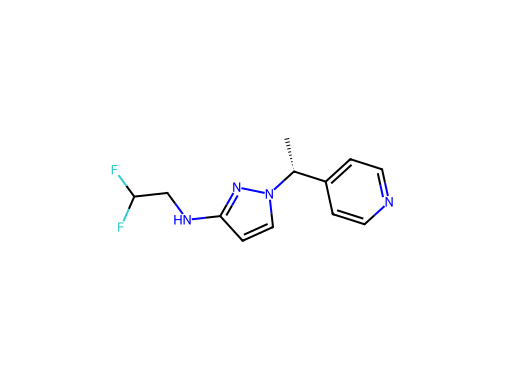 C[C@H](c1ccncc1)n1ccc(NCC(F)F)n1